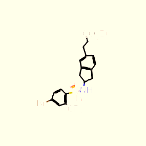 CCOC(=O)CCc1ccc2c(c1)CC(NS(=O)(=O)c1ccc(Br)cc1C(F)(F)F)C2